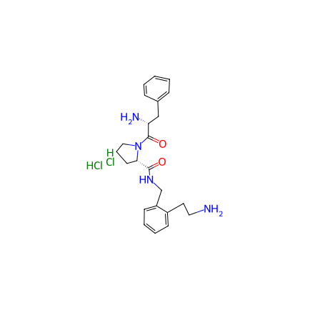 Cl.Cl.NCCc1ccccc1CNC(=O)[C@@H]1CCCN1C(=O)[C@H](N)Cc1ccccc1